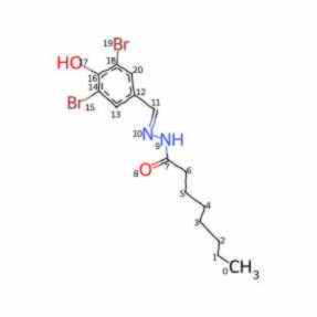 CCCCCCCC(=O)N/N=C/c1cc(Br)c(O)c(Br)c1